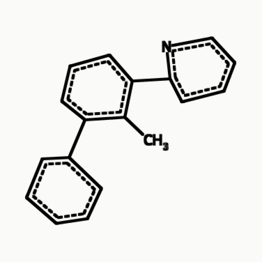 Cc1c(-c2ccccc2)cccc1-c1ccccn1